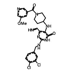 COc1cncc(C(=O)N2CCC(Nc3c(C=N)nc(NCc4ccc(Cl)c(Cl)c4)[nH]c3=O)CC2)c1